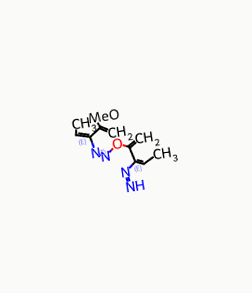 C=C(O/N=N\C(=C\C)C(=C)OC)/C(=C\C)N=N